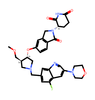 COC[C@@H]1CN(Cc2cc(F)c3cc(N4CCOCC4)cnc3c2)C[C@H]1Oc1ccc2c(c1)CN([C@H]1CCC(=O)NC1=O)C2=O